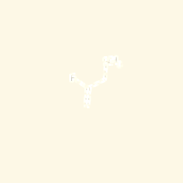 C=C(F)C[SiH3]